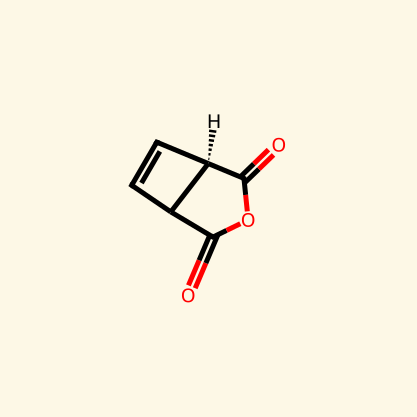 O=C1OC(=O)[C@@H]2C=CC12